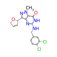 Cn1nc(C2C=CCO2)c2nc(NCc3ccc(Cl)c(Cl)c3)[nH]c(=O)c21